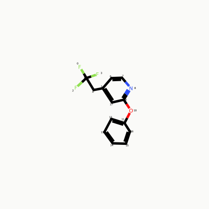 FC(F)(F)[CH]c1ccnc(Oc2ccccc2)c1